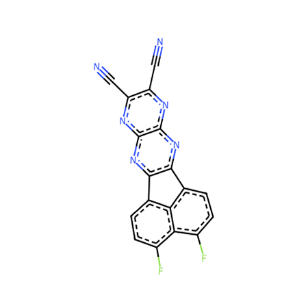 N#Cc1nc2nc3c(nc2nc1C#N)-c1ccc(F)c2c(F)ccc-3c12